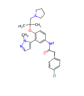 Cn1nccc1-c1cc(NC(=O)Cc2ccc(Cl)cc2)ccc1OC(C)(C)CN1CCCC1